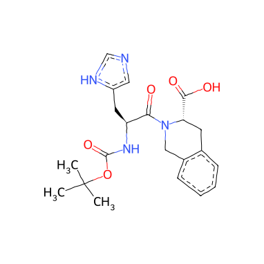 CC(C)(C)OC(=O)N[C@@H](Cc1cnc[nH]1)C(=O)N1Cc2ccccc2C[C@H]1C(=O)O